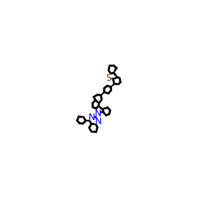 c1ccc(-c2nc(-n3c4ccccc4c4c5cc(-c6ccc(-c7cccc8c7sc7ccccc78)cc6)ccc5ccc43)nc3ccccc23)cc1